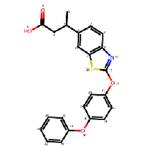 CC(CC(=O)O)c1ccc2nc(Oc3ccc(Oc4ccccc4)cc3)sc2c1